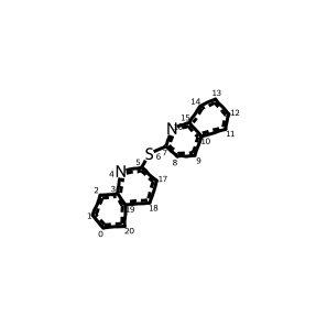 c1ccc2nc(Sc3ccc4ccccc4n3)ccc2c1